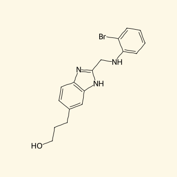 OCCCc1ccc2nc(CNc3ccccc3Br)[nH]c2c1